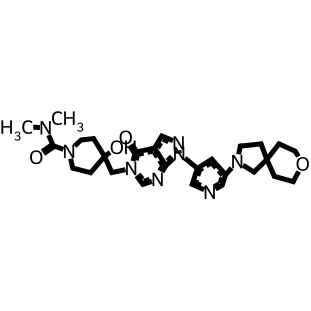 CN(C)C(=O)N1CCC(O)(Cn2cnc3c(cnn3-c3cncc(N4CCC5(CCOCC5)C4)c3)c2=O)CC1